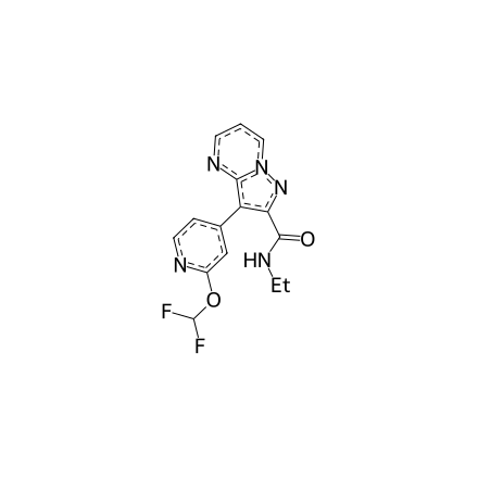 CCNC(=O)c1nn2cccnc2c1-c1ccnc(OC(F)F)c1